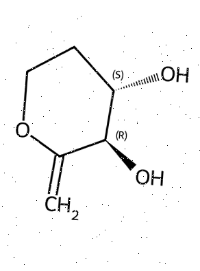 C=C1OCC[C@H](O)[C@H]1O